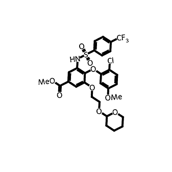 COC(=O)c1cc(NS(=O)(=O)c2ccc(C(F)(F)F)cc2)c(Oc2cc(OC)ccc2Cl)c(OCCOC2CCCCO2)c1